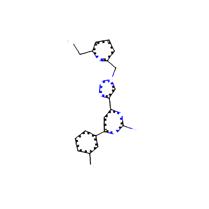 CC(C)Cc1cccc(Cn2cc(-c3cc(-c4cccc(C#N)c4)nc(N)n3)nn2)n1